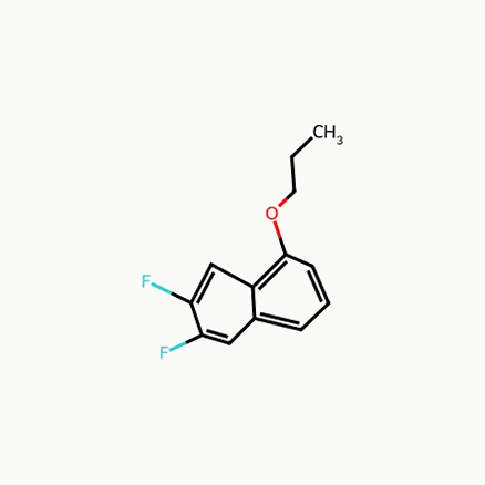 CCCOc1cccc2cc(F)c(F)cc12